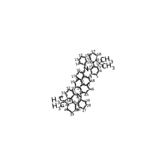 CC1(C)c2cccc(N(c3ccccc3)c3ccc4ccc5c(N(c6ccccc6)c6cccc7c6C6C=CC=CC6C7(C)C)ccc6ccc3c4c65)c2C2C=CC=CC21